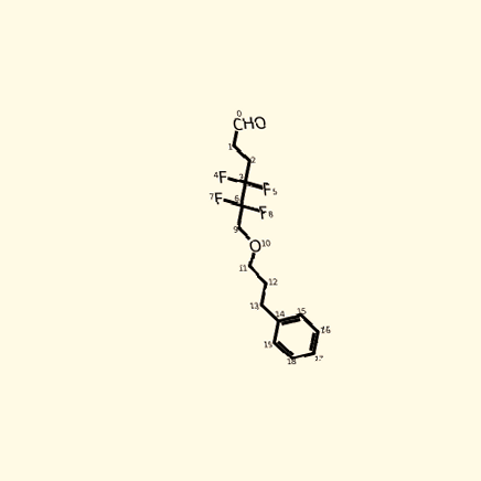 O=CCCC(F)(F)C(F)(F)COCCCc1ccccc1